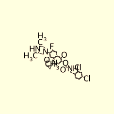 COc1c(N2CC(C)NC(C)C2)c(F)cc2c(=O)c(OC(=O)NCc3ccc(Cl)cc3Cl)cn(C3CC3)c12